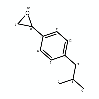 CC(C)Cc1ccc(C2CO2)cc1